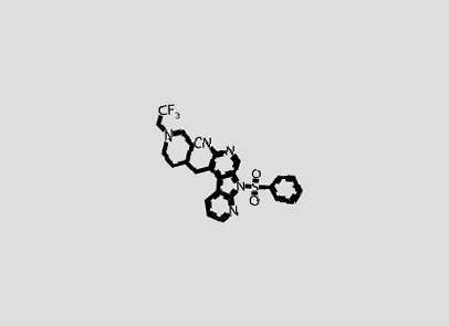 [C-]#[N+]c1ncc2c(c1CC1CCN(CC(F)(F)F)CC1)c1cccnc1n2S(=O)(=O)c1ccccc1